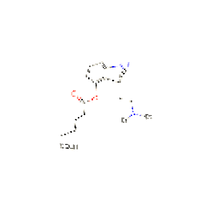 CCN(CC)CCc1c[nH]c2cccc(OC(=O)CCCCC(=O)O)c12